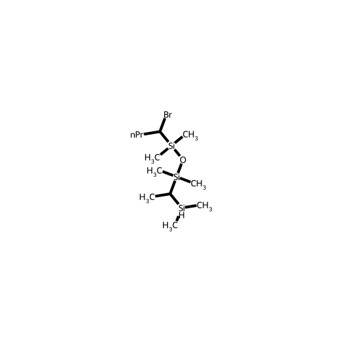 CCCC(Br)[Si](C)(C)O[Si](C)(C)C(C)[SiH](C)C